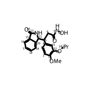 COc1ccc(C(CC(=O)NO)C2NC(=O)c3ccccc32)cc1OC(C)C